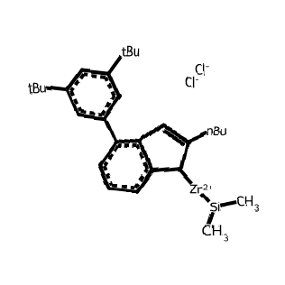 CCCCC1=Cc2c(-c3cc(C(C)(C)C)cc(C(C)(C)C)c3)cccc2[CH]1[Zr+2][Si](C)C.[Cl-].[Cl-]